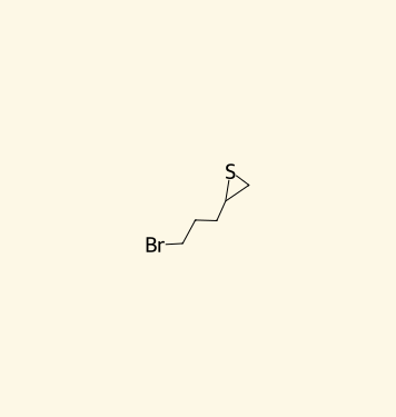 BrCCCC1CS1